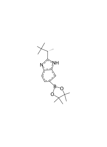 C[C@H](c1nc2ccc(B3OC(C)(C)C(C)(C)O3)cc2[nH]1)C(C)(C)C